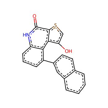 O=c1[nH]c2cccc(-c3ccc4ccccc4c3)c2c2c(O)csc12